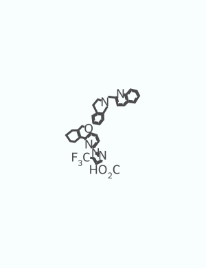 O=C(O)c1cnn(-c2cccc(C3=C(COc4ccc5c(c4)CCN(Cc4ccc6ccccc6n4)C5)CCCC3)n2)c1C(F)(F)F